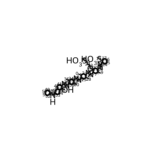 Cc1cc(N=Nc2cc(C)c(N=Nc3ccccc3S(=O)(=O)O)cc2OCCCS(=O)(=O)O)c(C)cc1N=Nc1cc(C)c(N=Nc2ccc3cc(Nc4ccccc4)ccc3c2O)cc1C